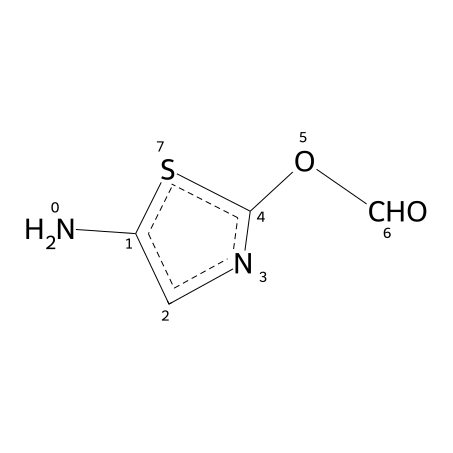 Nc1cnc(OC=O)s1